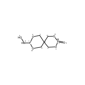 O=[PH]1OCC2(COP(NO)OC2)CO1